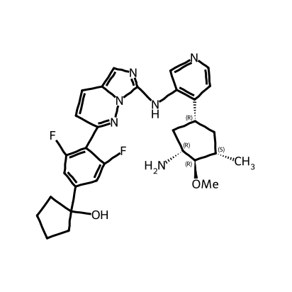 CO[C@H]1[C@H](N)C[C@H](c2ccncc2Nc2ncc3ccc(-c4c(F)cc(C5(O)CCCC5)cc4F)nn23)C[C@@H]1C